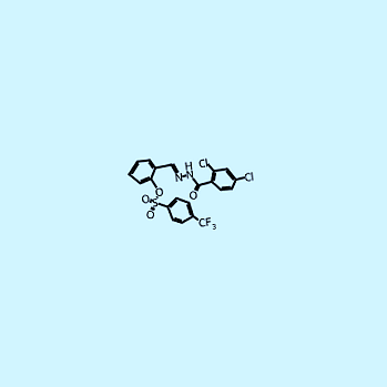 O=C(NN=Cc1ccccc1OS(=O)(=O)c1ccc(C(F)(F)F)cc1)c1ccc(Cl)cc1Cl